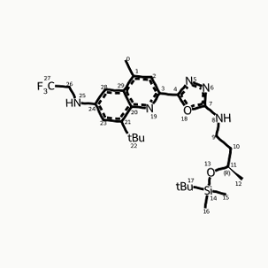 Cc1cc(-c2nnc(NCC[C@@H](C)O[Si](C)(C)C(C)(C)C)o2)nc2c(C(C)(C)C)cc(NCC(F)(F)F)cc12